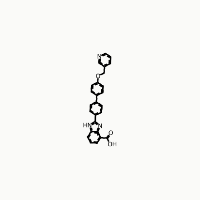 O=C(O)c1cccc2[nH]c(-c3ccc(-c4ccc(OCc5cccnc5)cc4)cc3)nc12